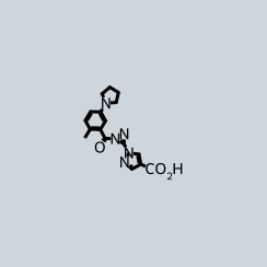 Cc1ccc(N2CCCC2)cc1C(=O)N1N=C1n1cc(C(=O)O)cn1